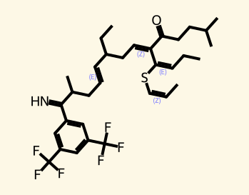 C/C=C\SC(=C/CC)/C(=C\CC(/C=C/CC(C)C(=N)c1cc(C(F)(F)F)cc(C(F)(F)F)c1)CC)C(=O)CCC(C)C